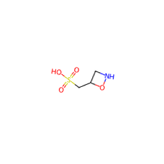 O=S(=O)(O)CC1CNO1